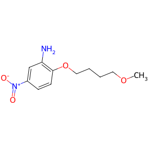 COCCCCOc1ccc([N+](=O)[O-])cc1N